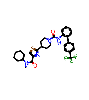 CN(C(=O)c1csc(C2CCN(C(=O)Nc3ccccc3-c3ccc(C(F)(F)F)cc3)CC2)n1)C1CCCCC1